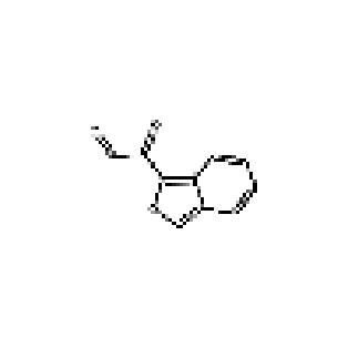 O=CC(=O)c1occ2ccccc12